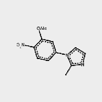 COc1cc(-n2ccnc2C)ccc1[N+](=O)[O-]